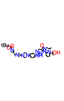 C=CCn1c(=O)c2cnc(Nc3ccc(N4CCN(C5CN(CC6CN(C(=O)OC(C)(C)C)C6)C5)CC4)cc3)nc2n1-c1cccc(C(C)(C)O)n1